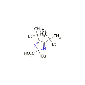 CCC(C)C1(C(=O)O)N=C(C(C)(C)CC)C(C(C)(C)CC)=N1